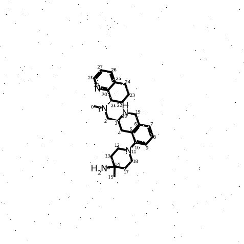 CN(C[C@@H]1Cc2c(cccc2N2CCC(C)(N)CC2)CN1)[C@H]1CCCc2cccnc21